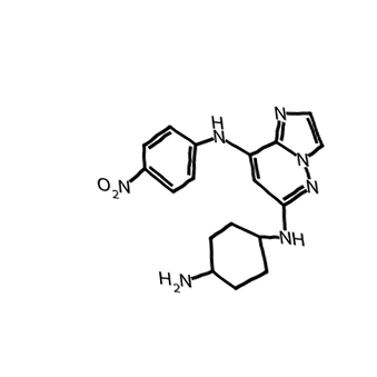 NC1CCC(Nc2cc(Nc3ccc([N+](=O)[O-])cc3)c3nccn3n2)CC1